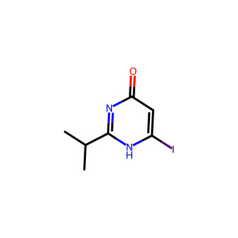 CC(C)c1nc(=O)cc(I)[nH]1